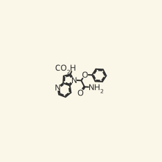 NC(=O)C(Oc1ccccc1)n1c(C(=O)O)cc2ncccc21